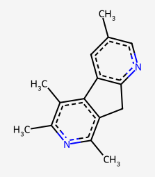 Cc1cnc2c(c1)-c1c(C)c(C)nc(C)c1C2